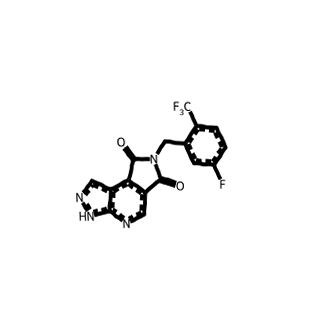 O=C1c2cnc3[nH]ncc3c2C(=O)N1Cc1cc(F)ccc1C(F)(F)F